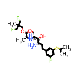 CC(C)Sc1cc(F)cc(CC[C@H](N)[C@H](O)[C@H]2CO[C@@H](OCC(C)(CF)CF)[C@H](C)N2)c1